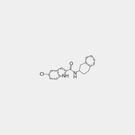 O=C(NC1CCc2ccccc2C1)c1cc2cc(Cl)ccc2[nH]1